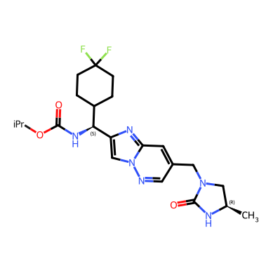 CC(C)OC(=O)N[C@H](c1cn2ncc(CN3C[C@@H](C)NC3=O)cc2n1)C1CCC(F)(F)CC1